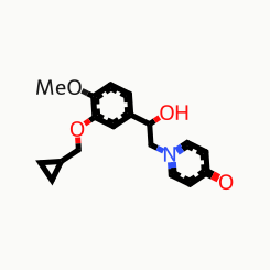 COc1ccc(C(O)Cn2ccc(=O)cc2)cc1OCC1CC1